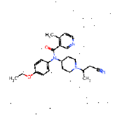 CCOc1ccc(N(C(=O)c2cnccc2C)C2CCN(C(C)CC#N)CC2)cc1